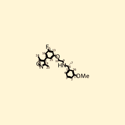 COc1cccc([C@@H](C)NCCOc2cc(F)cc(-c3c(C)noc3C)c2)c1